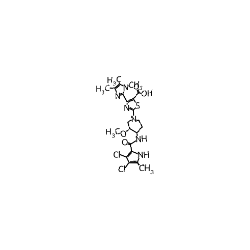 CO[C@H]1CN(c2nc(-c3nc(C)c(C)n3C)c(C(=O)O)s2)CC[C@H]1NC(=O)c1[nH]c(C)c(Cl)c1Cl